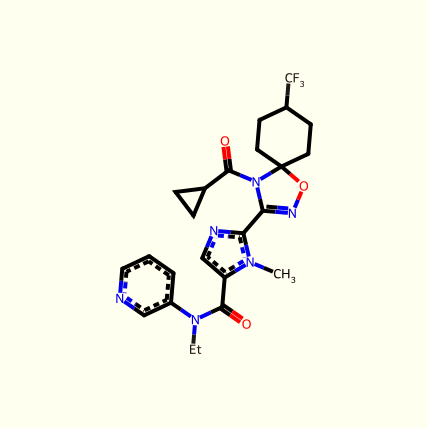 CCN(C(=O)c1cnc(C2=NOC3(CCC(C(F)(F)F)CC3)N2C(=O)C2CC2)n1C)c1cccnc1